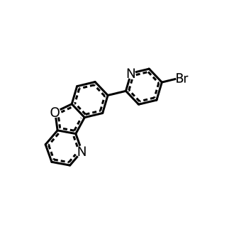 Brc1ccc(-c2ccc3oc4cccnc4c3c2)nc1